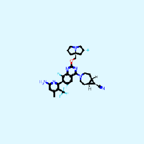 Cc1cc(N)nc(-c2c(F)cc3c(N4CC[C@@H]5[C@@H](C#N)[C@@H]5CC4)nc(OC[C@@]45CCCN4C[C@H](F)C5)nc3c2F)c1C(F)(F)F